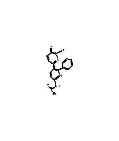 CC(C)n1nc(-c2ccc(NC(=O)C(C)(C)C)nc2-c2ccccc2)ccc1=O